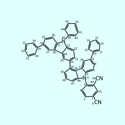 N#Cc1ccc(-n2c3ccc(-c4ccccc4)cc3c3c(-c4ccc5c(c4)c4cc(-c6ccccc6)ccc4n5-c4ccccc4)cccc32)c(C#N)c1